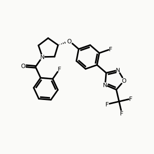 O=C(c1ccccc1F)N1CC[C@H](Oc2ccc(-c3noc(C(F)(F)F)n3)c(F)c2)C1